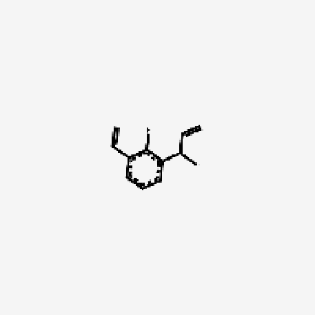 [CH2]C(C=C)c1cccc(C=C)c1F